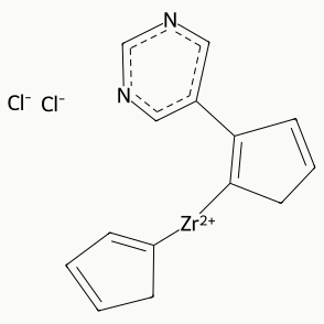 C1=CC[C]([Zr+2][C]2=C(c3cncnc3)C=CC2)=C1.[Cl-].[Cl-]